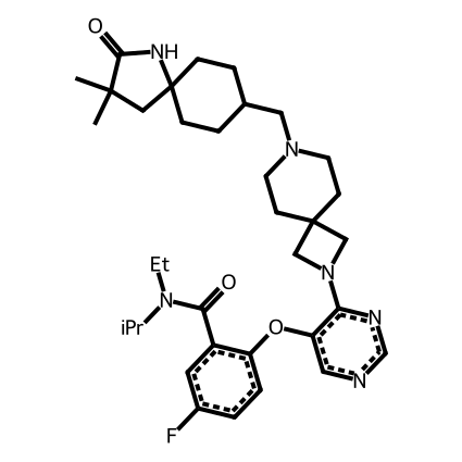 CCN(C(=O)c1cc(F)ccc1Oc1cncnc1N1CC2(CCN(CC3CCC4(CC3)CC(C)(C)C(=O)N4)CC2)C1)C(C)C